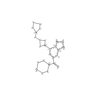 O=C(c1cc(N2CC(CN3CCCC3)C2)c2nonc2c1)N1CCOCC1